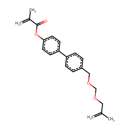 C=C(C)COCOCc1ccc(-c2ccc(OC(=O)C(=C)C)cc2)cc1